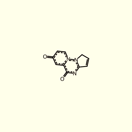 O=c1ccn2c(c1)c(=O)nc1n2CC=C1